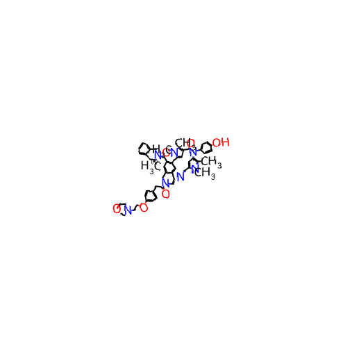 Cc1c(N(C(=O)c2cc(-c3cc4c(cc3C(=O)N3Cc5ccccc5C[C@H]3C)CN(C(=O)Cc3ccc(OCCN5CCOCC5)cc3)CC4)n(C)c2C)c2ccc(O)cc2)cc(C#N)n1C